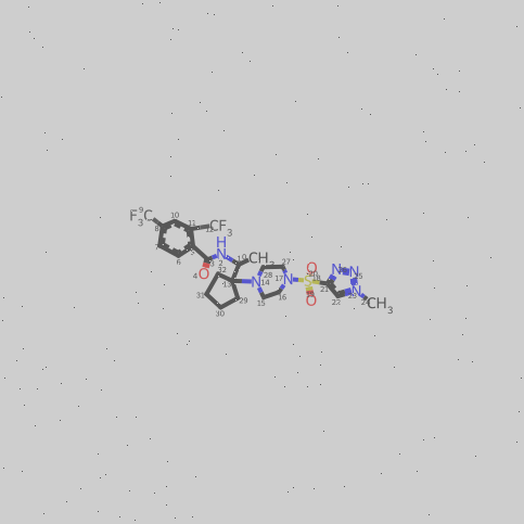 CC(NC(=O)c1ccc(C(F)(F)F)cc1C(F)(F)F)C1(N2CCN(S(=O)(=O)c3cn(C)nn3)CC2)CCCC1